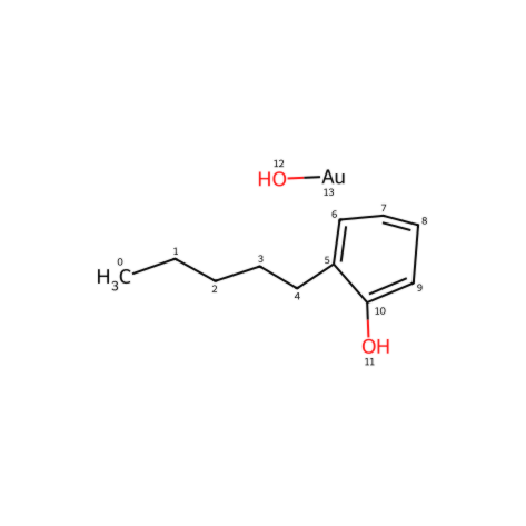 CCCCCc1ccccc1O.[OH][Au]